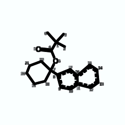 CC(C)(C)C(=O)OC1(c2ccc3ccccc3c2)CCCCC1